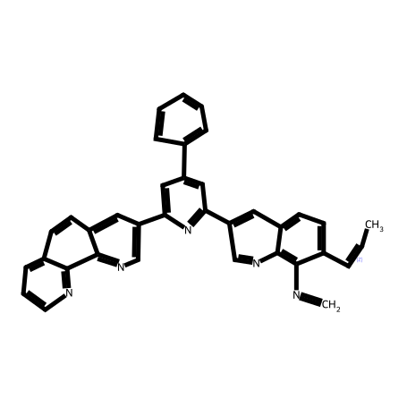 C=Nc1c(/C=C\C)ccc2cc(-c3cc(-c4ccccc4)cc(-c4cnc5c(ccc6cccnc65)c4)n3)cnc12